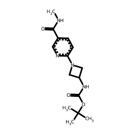 CNC(=O)c1ccc(N2CC(NC(=O)OC(C)(C)C)C2)nc1